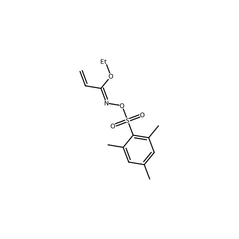 C=C/C(=N/OS(=O)(=O)c1c(C)cc(C)cc1C)OCC